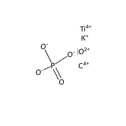 O=P([O-])([O-])[O-].[C+4].[K+].[O+2].[Ti+4]